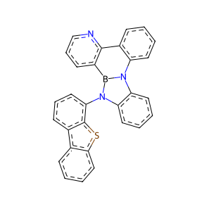 c1cnc2c(c1)B1N(c3ccccc3-2)c2ccccc2N1c1cccc2c1sc1ccccc12